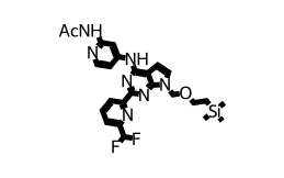 CC(=O)Nc1cc(Nc2nc(-c3cccc(C(F)F)n3)nc3c2ccn3COCC[Si](C)(C)C)ccn1